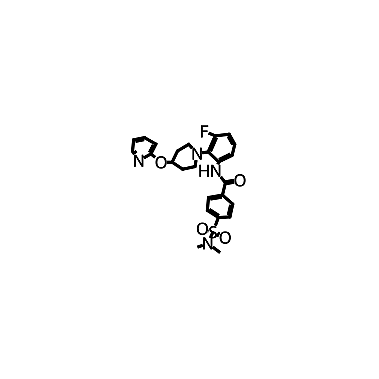 CN(C)S(=O)(=O)c1ccc(C(=O)Nc2cccc(F)c2N2CCC(Oc3ccccn3)CC2)cc1